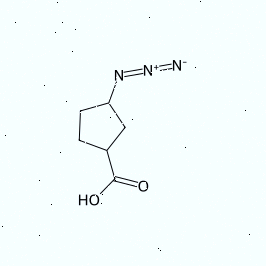 [N-]=[N+]=NC1CCC(C(=O)O)C1